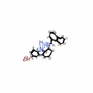 Brc1ccc2[nH]c3c(c2c1)CCCC3NCc1cccc2ccccc12